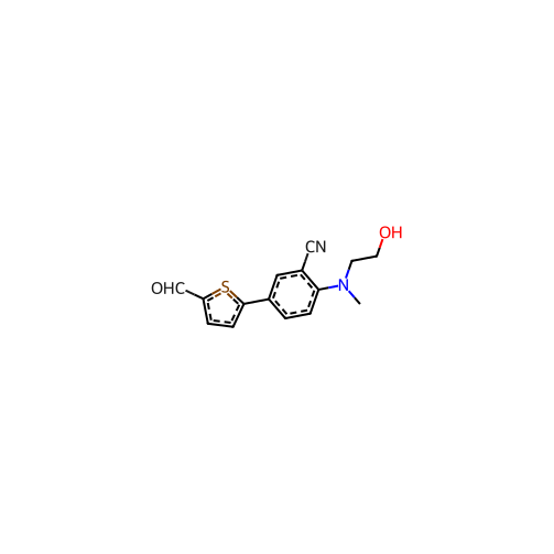 CN(CCO)c1ccc(-c2ccc(C=O)s2)cc1C#N